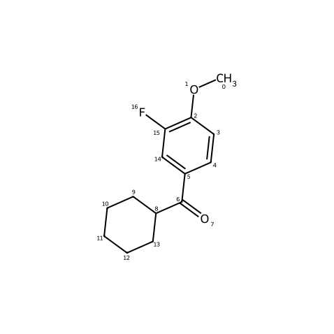 COc1ccc(C(=O)C2CCCCC2)cc1F